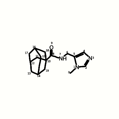 Cn1cncc1CNC(=O)C12CC3CC(CC(C3)C1)C2